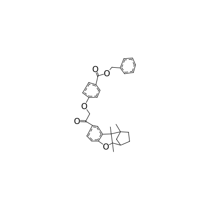 CC12CCC(C1)C1(C)Oc3ccc(C(=O)COc4ccc(C(=O)OCc5ccccc5)cc4)cc3C21C